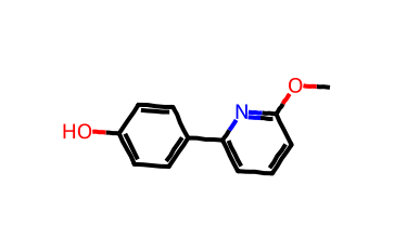 COc1cccc(-c2ccc(O)cc2)n1